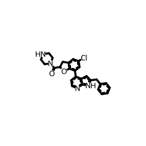 O=C(C1Cc2cc(Cl)cc(-c3ccnc4[nH]c(Cc5ccccc5)cc34)c2O1)N1CCNCC1